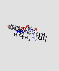 CC(C)CCC(N)C(=O)N1CC(=O)C2C1CCN2C(=O)C(CC(C)C)NC(=O)c1ccc(N2CCOCC2)cc1